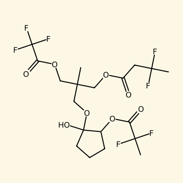 CC(F)(F)CC(=O)OCC(C)(COC(=O)C(F)(F)F)COC1(O)CCCC1OC(=O)C(C)(F)F